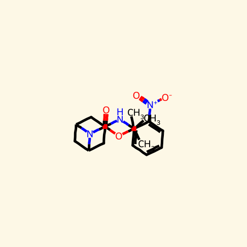 CC(C)(C)OC(=O)N1C2CC(Nc3ccccc3[N+](=O)[O-])CC1C2